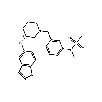 CN(c1cccc(CN2CCC[C@@H](Nc3ccc4[nH]ncc4c3)C2)c1)S(C)(=O)=O